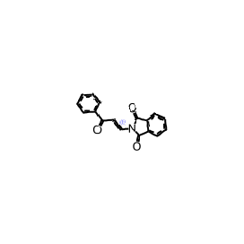 O=C(/C=C/N1C(=O)c2ccccc2C1=O)c1ccccc1